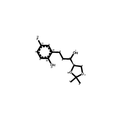 CC1(C)OC[C@H](C(O)CCc2cc(F)ccc2O)O1